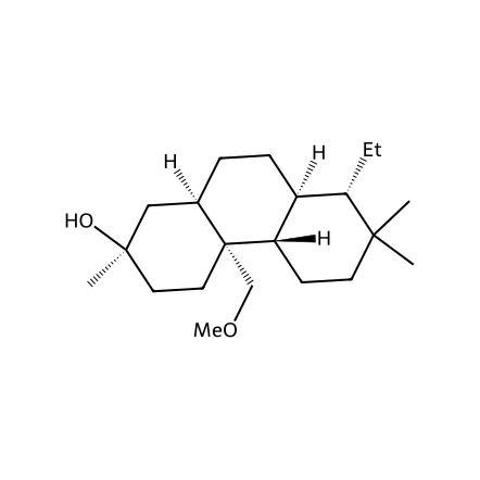 CC[C@H]1[C@@H]2CC[C@@H]3C[C@](C)(O)CC[C@]3(COC)[C@H]2CCC1(C)C